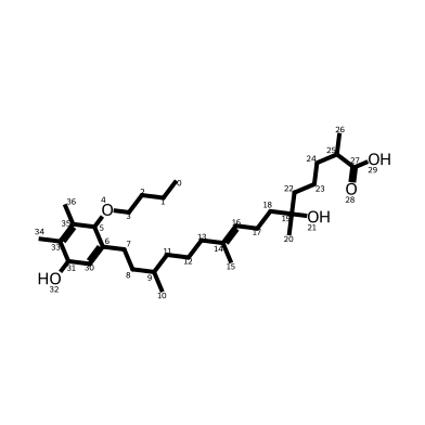 CCCCOC1C(CCC(C)CCC/C(C)=C/CCC(C)(O)CCCC(C)C(=O)O)=CC(O)C(C)=C1C